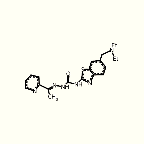 CCN(CC)Cc1ccc2nc(NC(=O)N/N=C(\C)c3ccccn3)sc2c1